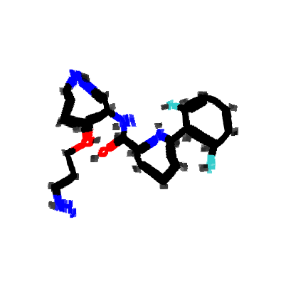 NCCCOc1ccncc1NC(=O)c1cccc(-c2c(F)cccc2F)n1